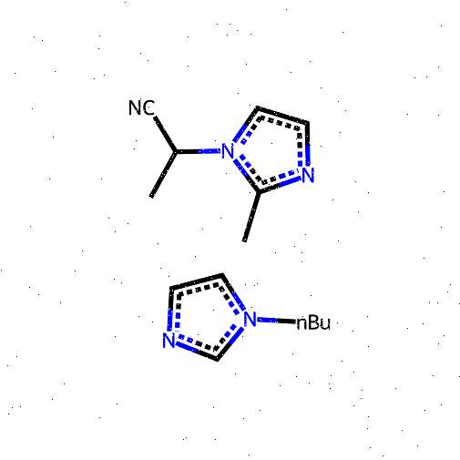 CCCCn1ccnc1.Cc1nccn1C(C)C#N